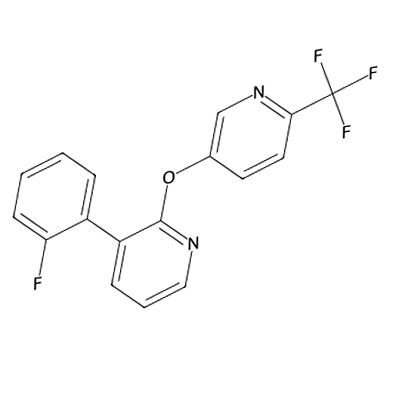 Fc1ccccc1-c1cccnc1Oc1ccc(C(F)(F)F)nc1